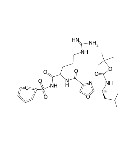 CC(C)C[C@H](NC(=O)OC(C)(C)C)c1nc(C(=O)NC(CCCNC(=N)N)C(=O)NS(=O)(=O)c2ccccc2)co1